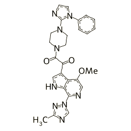 COc1cnc(-n2cnc(C)n2)c2[nH]cc(C(=O)C(=O)N3CCN(c4nccn4-c4ccccc4)CC3)c12